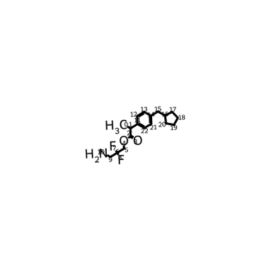 CC(C(=O)OCC(F)(F)CN)c1ccc(CC2CCCC2)cc1